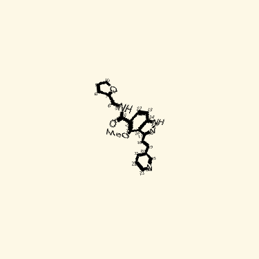 COc1c(C(=O)NCC2CCCO2)ccc2[nH]nc(/C=C/c3cccnc3)c12